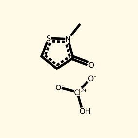 Cn1sccc1=O.[O-][Cl+2]([O-])O